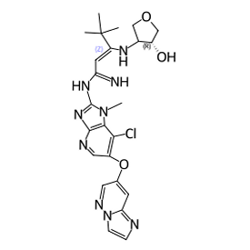 Cn1c(NC(=N)/C=C(\NC2COC[C@@H]2O)C(C)(C)C)nc2ncc(Oc3cnn4ccnc4c3)c(Cl)c21